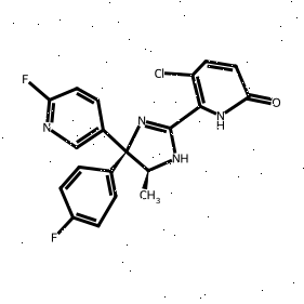 C[C@@H]1NC(c2[nH]c(=O)ccc2Cl)=N[C@@]1(c1ccc(F)cc1)c1ccc(F)nc1